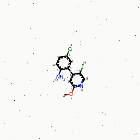 COc1cc(-c2cc(Cl)ccc2N)c(F)cn1